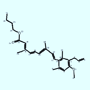 C=CCc1c(OC)cc(C)c(C=CC(C)=CC=CC(C)=CC(=O)OCCCC)c1C